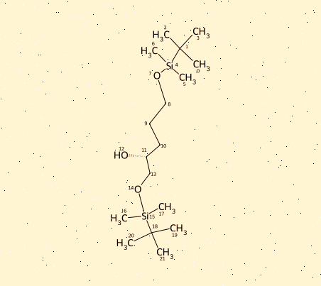 CC(C)(C)[Si](C)(C)OCCC[C@@H](O)CO[Si](C)(C)C(C)(C)C